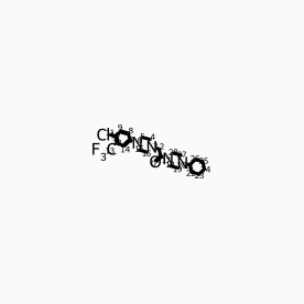 O=C(CN1CCN(c2ccc(Cl)c(C(F)(F)F)c2)CC1)N1CCN(C2CCCCC2)CC1